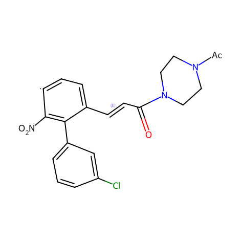 CC(=O)N1CCN(C(=O)/C=C/c2cc[c]c([N+](=O)[O-])c2-c2cccc(Cl)c2)CC1